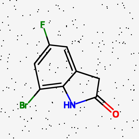 O=C1Cc2cc(F)cc(Br)c2N1